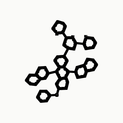 c1ccc(Oc2ccc3c(-c4ccc5ccccc5c4)c4cc(-c5cc(-c6ccccn6)nc(-c6ccccn6)c5)ccc4c(-c4ccc5ccccc5c4)c3c2)cc1